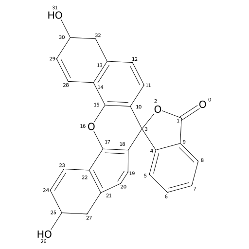 O=C1OC2(c3ccccc31)c1ccc3c(c1Oc1c2ccc2c1C=CC(O)C2)C=CC(O)C3